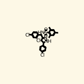 Cc1cc(C)c(S(=O)(=O)NC(C2=NNC(c3ccc(Cl)cc3)C2)c2ccc(Cl)cc2Cl)c(C)c1